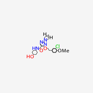 COc1ccc(CCOc2nc(N3C[C@@H]4C[C@H]4C3)ncc2C(=O)NC2CCC(O)CC2)cc1Cl